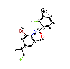 Cc1cc(C(C)CF)cc(Br)c1NC(=O)c1cccc([N+](=O)[O-])c1F